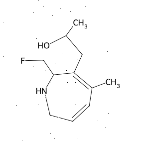 CC1=C(CC(C)O)C(CF)NCC=C1